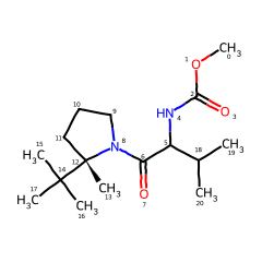 COC(=O)NC(C(=O)N1CCC[C@@]1(C)C(C)(C)C)C(C)C